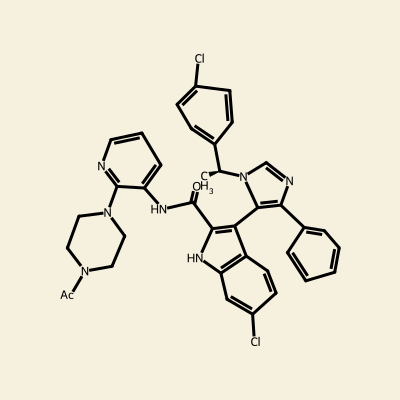 CC(=O)N1CCN(c2ncccc2NC(=O)c2[nH]c3cc(Cl)ccc3c2-c2c(-c3ccccc3)ncn2[C@@H](C)c2ccc(Cl)cc2)CC1